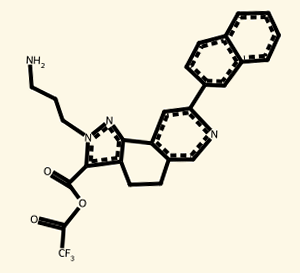 NCCCn1nc2c(c1C(=O)OC(=O)C(F)(F)F)CCc1cnc(-c3ccc4ccccc4c3)cc1-2